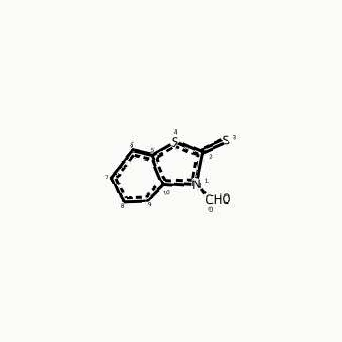 O=Cn1c(=S)sc2ccccc21